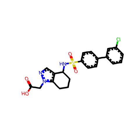 O=C(O)Cn1ncc2c1CCCC2NS(=O)(=O)c1ccc(-c2cccc(Cl)c2)cc1